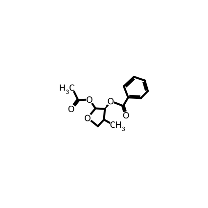 CC(=O)OC1OCC(C)[C@@H]1OC(=O)c1ccccc1